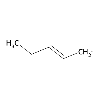 [CH2]C=CCC